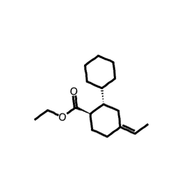 C/C=C1/CC[C@@H](C(=O)OCC)[C@H](C2CCCCC2)C1